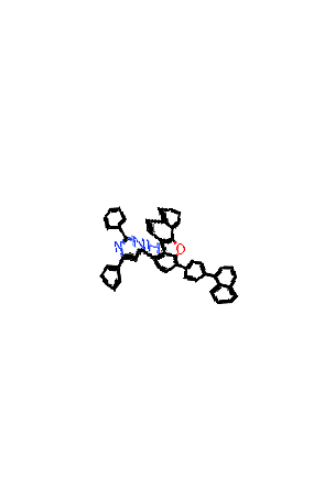 C1=C(c2ccccc2)N=C(c2ccccc2)NC1c1ccc(-c2ccc(-c3cccc4ccccc34)cc2)c2oc3c4ccccc4ccc3c12